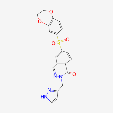 O=c1c2ccc(S(=O)(=O)c3ccc4c(c3)OCCO4)cc2cnn1Cc1cc[nH]n1